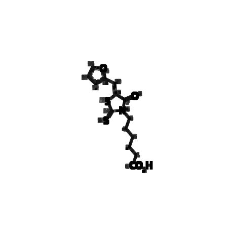 O=C(O)CCCCCN1C(=O)C(=Cc2ccco2)SC1=S